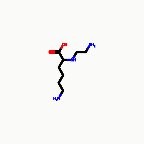 NCCCCC(NCCN)C(=O)O